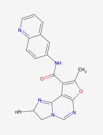 CCCC1CN2C=Nc3oc(C)c(C(=O)Nc4ccc5ncccc5c4)c3C2=N1